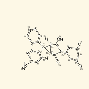 N#Cc1ccc([C@@]2(c3ccncc3)[C@@H]3C(=O)N(c4cc(Cl)cc(Cl)c4)C(O)[C@@H]32)cc1